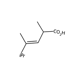 C/C(=C\C(C)C(=O)O)C(C)C